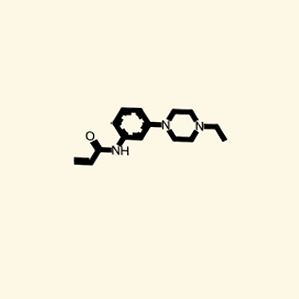 C=CC(=O)Nc1[c]ccc(N2CCN(CC)CC2)c1